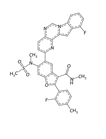 CNC(=O)c1c(-c2ccc(C)cc2F)oc2cc(N(C)S(C)(=O)=O)c(-c3ccc4ncn5c6cccc(F)c6cc5c4n3)cc12